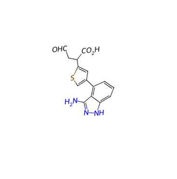 Nc1n[nH]c2cccc(-c3csc(C(CC=O)C(=O)O)c3)c12